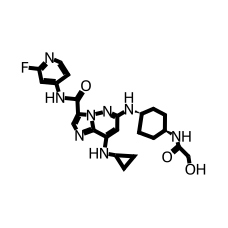 O=C(CO)N[C@H]1CC[C@H](Nc2cc(NC3CC3)c3ncc(C(=O)Nc4ccnc(F)c4)n3n2)CC1